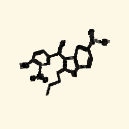 CCCCc1oc2ccc([N+](=O)[O-])cc2c1C(=O)c1ccc(O)c([N+](=O)[O-])c1